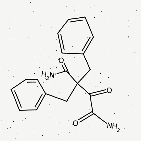 NC(=O)C(=O)C(Cc1ccccc1)(Cc1ccccc1)C(N)=O